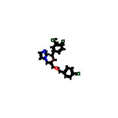 Clc1ccc(COCC(Cn2ccnc2)SCc2ccc(Cl)c(Cl)c2)cc1